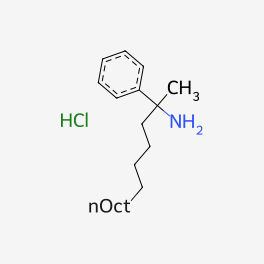 CCCCCCCCCCCCC(C)(N)c1ccccc1.Cl